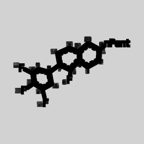 CCCCCc1ccc2c(F)c(-c3cc(F)c(F)c(F)c3)ccc2c1